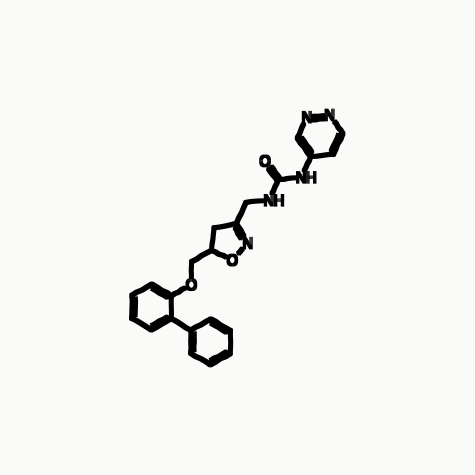 O=C(NCC1=NOC(COc2ccccc2-c2ccccc2)C1)Nc1ccnnc1